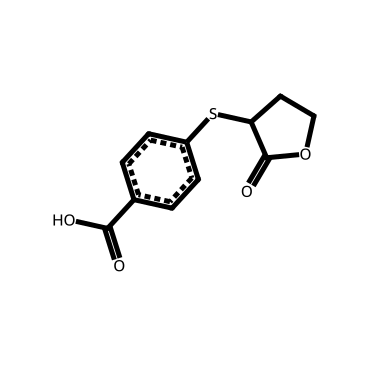 O=C(O)c1ccc(SC2CCOC2=O)cc1